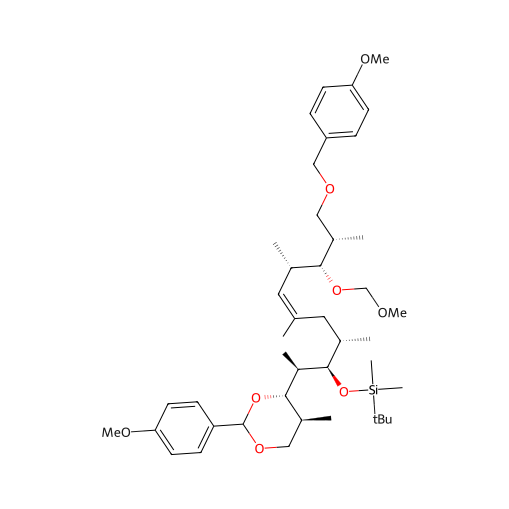 COCO[C@H]([C@@H](C)/C=C(/C)C[C@H](C)[C@@H](O[Si](C)(C)C(C)(C)C)[C@H](C)[C@H]1OC(c2ccc(OC)cc2)OC[C@@H]1C)[C@@H](C)COCc1ccc(OC)cc1